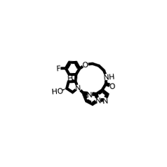 O=C1NCCCOC2=CC=C(F)CC2[C@@H]2C[C@@H](O)CN2c2ccn3ncc1c3n2